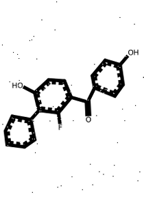 O=C(c1ccc(O)cc1)c1ccc(O)c(-c2ccccc2)c1F